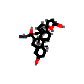 COC(=O)[C@@H]1CC2=CC(=O)CC[C@]2(C)C2=CC[C@@]3(C)[C@@H](CC[C@@]34CCC(=O)O4)[C@@H]21